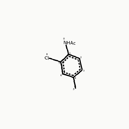 CC(=O)Nc1ccc(C)cc1Cl